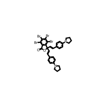 O=C1OC(C=Cc2ccc(N3CCCC3)cc2)(C=Cc2ccc(N3CCCC3)cc2)c2c(Br)c(Br)c(Br)c(Br)c21